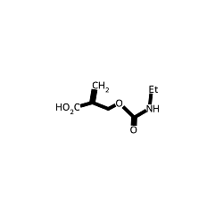 C=C(COC(=O)NCC)C(=O)O